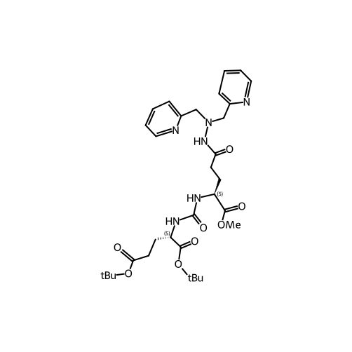 COC(=O)[C@H](CCC(=O)NN(Cc1ccccn1)Cc1ccccn1)NC(=O)N[C@@H](CCC(=O)OC(C)(C)C)C(=O)OC(C)(C)C